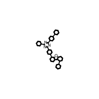 c1ccc(-c2ccc(-c3nc(-c4ccccc4)nc(-c4ccc(-c5cccc6c5oc5cccc(-c7ccccc7)c56)cc4)n3)cc2)cc1